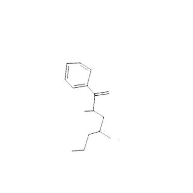 COC(CCO)CC(O)C(=O)c1ccccc1